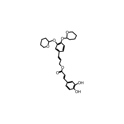 O=C(C=Cc1ccc(O)c(O)c1)OCC=Cc1ccc(OC2CCCCO2)c(OC2CCCCO2)c1